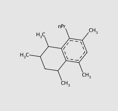 CCCc1c(C)cc(C)c2c1C(C)C(C)CC2C